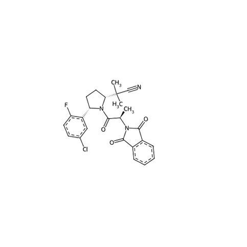 C[C@H](C(=O)N1[C@H](c2cc(Cl)ccc2F)CC[C@@H]1C(C)(C)C#N)N1C(=O)c2ccccc2C1=O